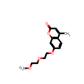 Cc1cc(=O)oc2cc(OCCOCCO[N+](=O)[O-])ccc12